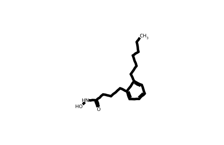 CCCCCCc1ccccc1CCCC(=O)NO